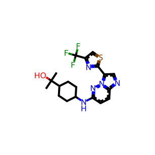 CC(C)(O)C1CCC(Nc2ccc3ncc(-c4nc(C(F)(F)F)cs4)n3n2)CC1